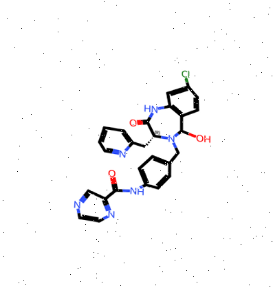 O=C(Nc1ccc(CN2C(O)c3ccc(Cl)cc3NC(=O)[C@H]2Cc2ccccn2)cc1)c1cnccn1